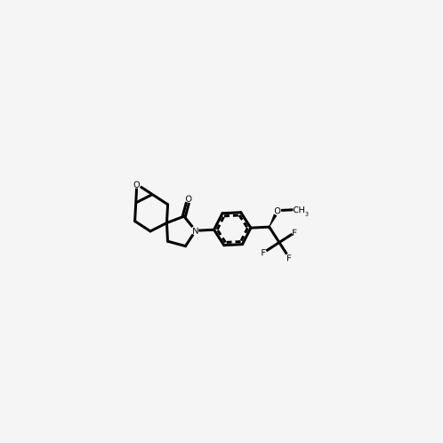 CO[C@H](c1ccc(N2CCC3(CCC4OC4C3)C2=O)cc1)C(F)(F)F